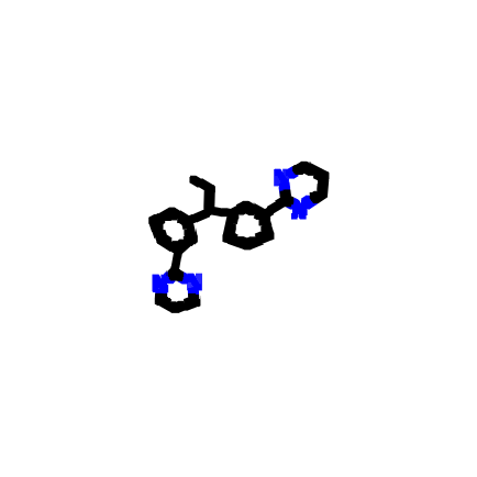 CC=C(c1cccc(-c2ncccn2)c1)c1cccc(-c2ncccn2)c1